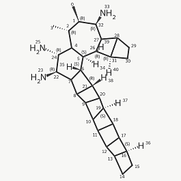 C[C@@H]1[C@@H](C)C2[C@H]([C@H]3C(C4C5C6C7C8C9CC[C@@H]9C8C7[C@@H]6C5[C@H]43)[C@@H](N)[C@@H]2N)[C@@H]2C(C3CC[C@H]32)[C@@H]1N